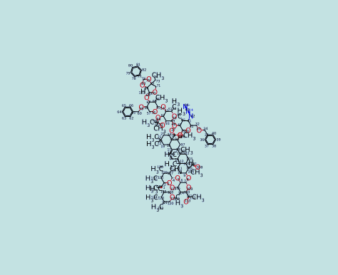 CCC1O[C@@H](OC2[C@H](O[C@H]3CCC4(C)C5CC=C6C7CC(C)(C)CC[C@]7(C(=O)O[C@@H]7OC(COCc8ccccc8)[C@H](N=[N+]=[N-])C(C)C7O[C@@H]7OC(C)[C@H](O[C@@H]8OC[C@@H](OCc9ccccc9)C(O[C@@H]9OCC%10(CC)O[C@@H](c%11ccccc%11)O[C@H]9%10)C8C)C8OC(C)(C)OC87)C(OC)C[C@@]6(C)[C@@]5(C)CC[C@H]4[C@@]3(C)C=O)OC(C(C)=O)[C@@H](C)[C@@H]2O[C@@H]2OC[C@@H](C)[C@H](C)C2C)C(C)[C@@H](C)[C@H]1C